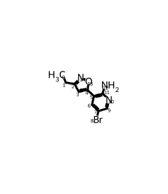 CCc1cc(-c2cc(Br)cnc2N)on1